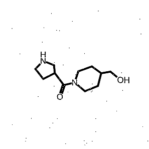 O=C(C1CCNC1)N1CCC(CO)CC1